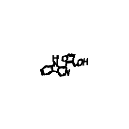 OCc1ccoc1-c1nccc2c1[nH]c1ccccc12